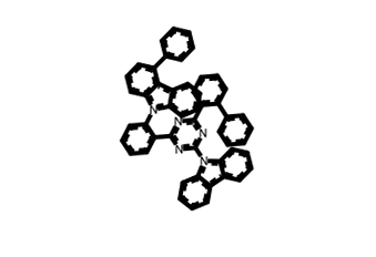 c1ccc(-c2ccccc2-c2nc(-c3ccccc3-n3c4ccccc4c4c(-c5ccccc5)cccc43)nc(-n3c4ccccc4c4ccccc43)n2)cc1